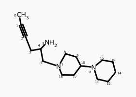 CC#CCC(N)CN1CCC(N2CCCCC2)CC1